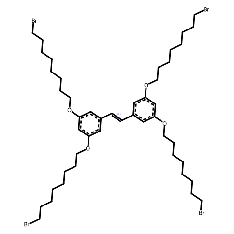 BrCCCCCCCCOc1cc(/C=C/c2cc(OCCCCCCCCBr)cc(OCCCCCCCCBr)c2)cc(OCCCCCCCCBr)c1